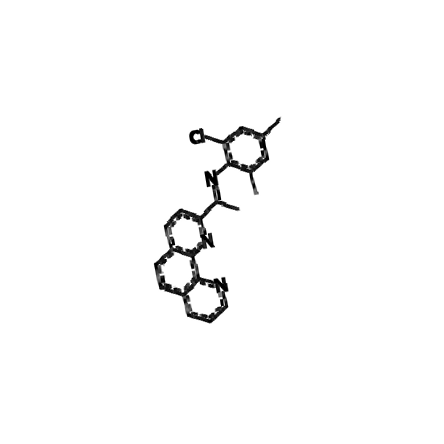 CC(=Nc1c(C)cc(C)cc1Cl)c1ccc2ccc3cccnc3c2n1